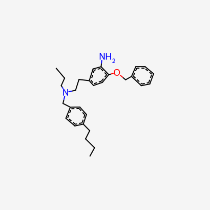 CCCCc1ccc(CN(CCC)CCc2ccc(OCc3ccccc3)c(N)c2)cc1